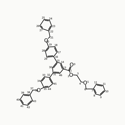 O=C(OCCOCc1ccccc1)c1cc(-c2ccc(OCc3ccccc3)cc2)cc(-c2ccc(OCc3ccccc3)cc2)c1